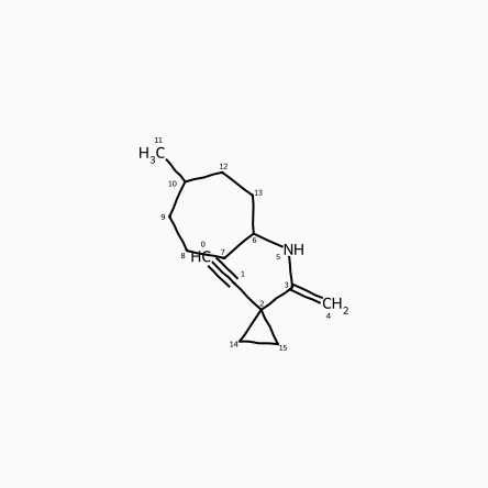 C#CC1(C(=C)NC2CCCC(C)CC2)CC1